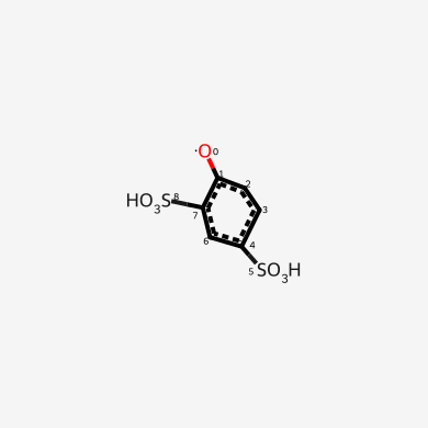 [O]c1ccc(S(=O)(=O)O)cc1S(=O)(=O)O